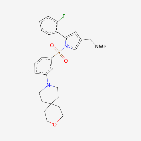 CNCc1cc(-c2ccccc2F)n(S(=O)(=O)c2cccc(N3CCC4(CCOCC4)CC3)c2)c1